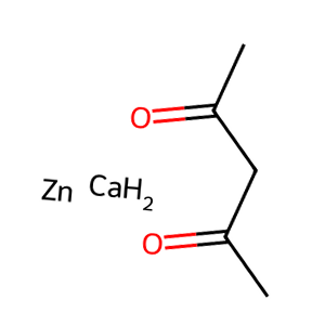 CC(=O)CC(C)=O.[CaH2].[Zn]